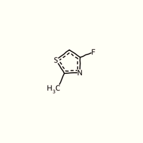 Cc1nc(F)cs1